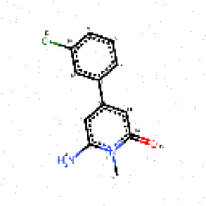 Cn1c(N)cc(-c2cccc(Cl)c2)cc1=O